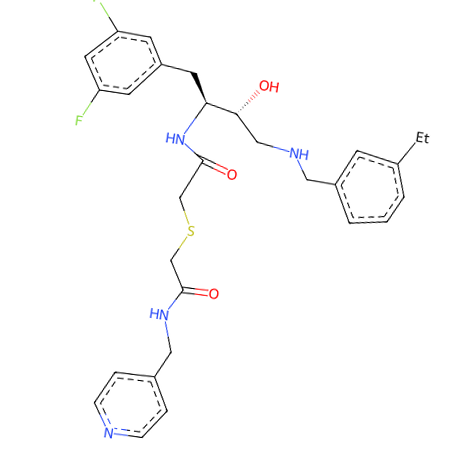 CCc1cccc(CNC[C@@H](O)[C@H](Cc2cc(F)cc(F)c2)NC(=O)CSCC(=O)NCc2ccncc2)c1